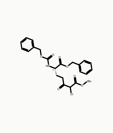 CCC(C(=O)CC[C@H](NC(=O)OCc1ccccc1)C(=O)OCc1ccccc1)C(=O)OC(C)(C)C